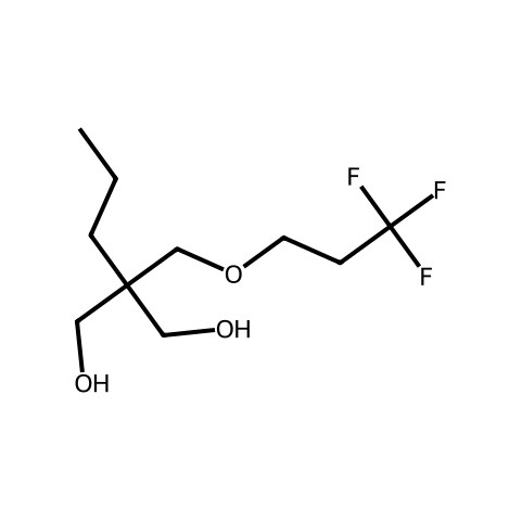 CCCC(CO)(CO)COCCC(F)(F)F